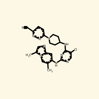 Cc1cn2c(C)cnc2cc1Nc1ncc(Cl)c(NC2CCN(c3ccc(C#N)nn3)CC2)n1